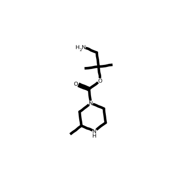 CC1CN(C(=O)OC(C)(C)CN)CCN1